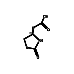 O=C(O)O[C@@H]1CSC(=O)N1